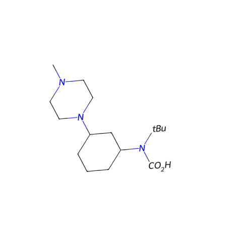 CN1CCN(C2CCCC(N(C(=O)O)C(C)(C)C)C2)CC1